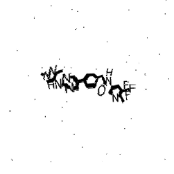 Cc1nn(C)cc1Nc1ncc(-c2ccc(CC(=O)Nc3cnc(C)c(C(F)(F)F)c3)cc2)cn1